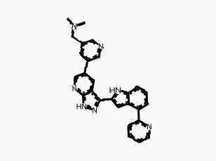 CN(C)Cc1cncc(-c2cnc3[nH]nc(-c4cc5c(-c6ccccn6)cccc5[nH]4)c3c2)c1